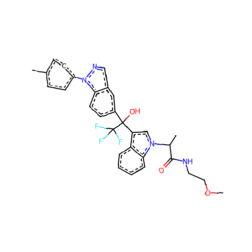 COCCNC(=O)C(C)n1cc(C(O)(c2ccc3c(cnn3-c3ccc(C)cc3)c2)C(F)(F)F)c2ccccc21